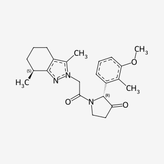 COc1cccc([C@@H]2C(=O)CCN2C(=O)Cn2nc3c(c2C)CCC[C@@H]3C)c1C